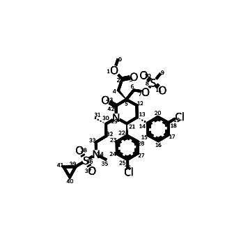 COC(=O)C[C@@]1(COS(C)(=O)=O)C[C@H](c2cccc(Cl)c2)[C@@H](c2ccc(Cl)cc2)N([C@@H](C)CCN(C)S(=O)(=O)C2CC2)C1=O